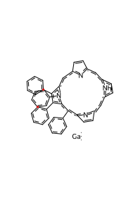 C1=Cc2cc3c(-c4ccccc4)c(-c4ccccc4)c(c(-c4ccccc4)c4nc(cc5ccc(cc1n2)[nH]5)C=C4)n3-c1ccccc1.[Ga]